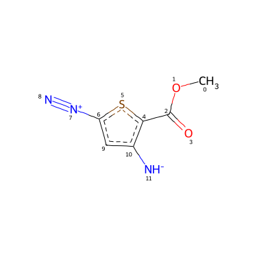 COC(=O)c1sc([N+]#N)cc1[NH-]